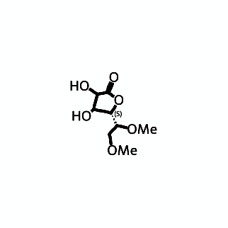 COCC(OC)[C@H]1OC(=O)C(O)C1O